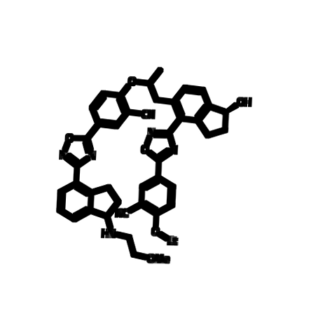 CCOc1ccc(-c2nc(-c3c(CC(C)Oc4ccc(-c5nc(-c6cccc7c6CCC7NCCOC)no5)cc4C#N)ccc4c3CC[C@@H]4O)no2)cc1C#N